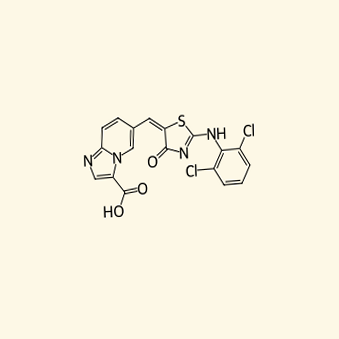 O=C1N=C(Nc2c(Cl)cccc2Cl)SC1=Cc1ccc2ncc(C(=O)O)n2c1